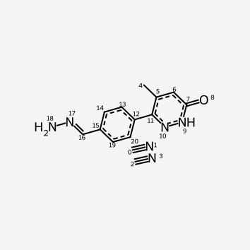 C#N.C#N.Cc1cc(=O)[nH]nc1-c1ccc(C=NN)cc1